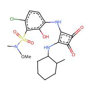 CON(C)S(=O)(=O)c1c(Cl)ccc(Nc2c(NC3CCCCC3C)c(=O)c2=O)c1O